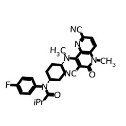 CC(C)C(=O)N(c1ccc(F)cc1)[C@H]1CC[C@@H](N(C)c2c(C#N)c(=O)n(C)c3ccc(C#N)nc23)CC1